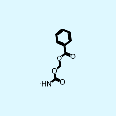 [NH]C(=O)OCOC(=O)c1ccccc1